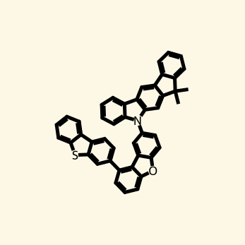 CC1(C)c2ccccc2-c2cc3c4ccccc4n(-c4ccc5oc6cccc(-c7ccc8c(c7)sc7ccccc78)c6c5c4)c3cc21